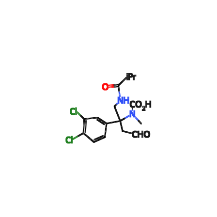 CC(C)C(=O)NCC(CC=O)(c1ccc(Cl)c(Cl)c1)N(C)C(=O)O